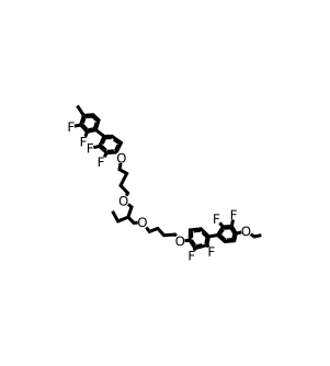 CCOc1ccc(-c2ccc(OCCCCOCC(CC)COCCCCOc3ccc(-c4ccc(C)c(F)c4F)c(F)c3F)c(F)c2F)c(F)c1F